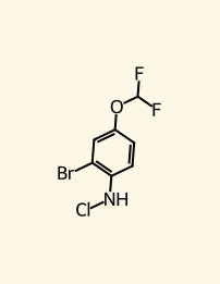 FC(F)Oc1ccc(NCl)c(Br)c1